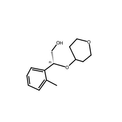 Cc1ccccc1[C@H](CO)OC1CCOCC1